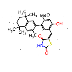 COc1cc(O)c(/C=C2/SC(=O)NC2=O)cc1-c1cc2c(cc1C)C(C)(C)CCC2(C)C